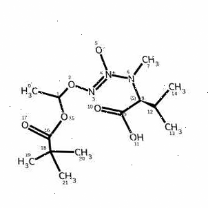 CC(ON=[N+]([O-])N(C)[C@H](C(=O)O)C(C)C)OC(=O)C(C)(C)C